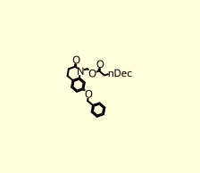 CCCCCCCCCCCC(=O)OCN1C(=O)CCc2ccc(OCc3ccccc3)cc21